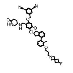 Cc1c(OCCCN2CC3(CC(F)C3)C2)cccc1-c1cccc2c1CC[C@@H]2Oc1cc(OCc2cc(C#N)cc(C#N)c2)c(CN[C@H]2CCC(=O)NC2)cc1Cl